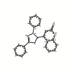 O=c1cc(C2CC(c3ccccc3)=NN2c2ccccc2)c2ccccc2o1